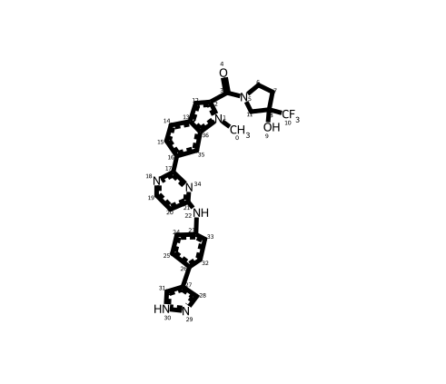 Cn1c(C(=O)N2CCC(O)(C(F)(F)F)C2)cc2ccc(-c3nccc(Nc4ccc(-c5cn[nH]c5)cc4)n3)cc21